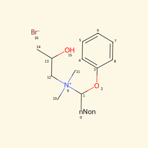 CCCCCCCCCC(Oc1ccccc1)[N+](C)(C)CC(C)O.[Br-]